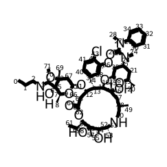 CCCNC[C@]1(O)[C@H](C)O[C@@H](O[C@H]2[C@H](C)[C@@H](O[C@@H]3O[C@H](C)C[C@H](N(C)C(=O)N(C)c4ccccc4)[C@H]3Oc3ccccc3Cl)[C@](C)(O)C[C@@H](C)CN[C@H](C)[C@@H](O)[C@](C)(O)[C@@H](CC)OC(=O)[C@@H]2C)C[C@@]1(C)OC